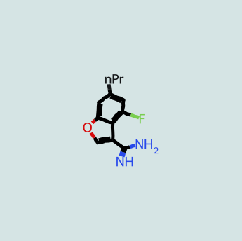 CCCc1cc(F)c2c(C(=N)N)coc2c1